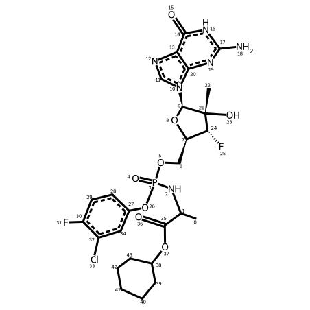 CC(NP(=O)(OC[C@H]1O[C@@H](n2cnc3c(=O)[nH]c(N)nc32)[C@](C)(O)[C@@H]1F)Oc1ccc(F)c(Cl)c1)C(=O)OC1CCCCC1